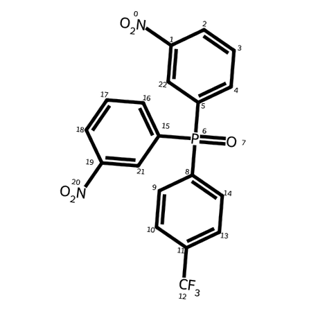 O=[N+]([O-])c1cccc(P(=O)(c2ccc(C(F)(F)F)cc2)c2cccc([N+](=O)[O-])c2)c1